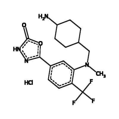 CN(CC1CCC(N)CC1)c1cc(-c2n[nH]c(=O)o2)ccc1C(F)(F)F.Cl